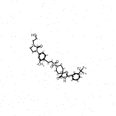 Cc1cc(N2CCN(CCO)C2=O)ccc1CCS(=O)(=O)N1CCC2(CC1)N=C(c1cccc(C(F)(F)F)c1)NC2=O